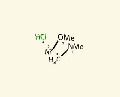 CNC.C[O][Ni].Cl